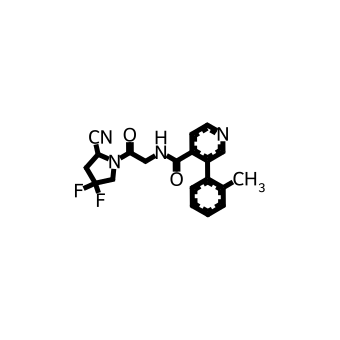 Cc1ccccc1-c1cnccc1C(=O)NCC(=O)N1CC(F)(F)CC1C#N